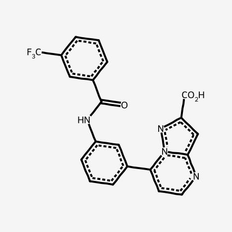 O=C(Nc1cccc(-c2ccnc3cc(C(=O)O)nn23)c1)c1cccc(C(F)(F)F)c1